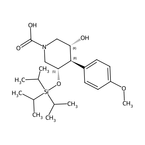 COc1ccc([C@@H]2[C@@H](O)CN(C(=O)O)C[C@H]2O[Si](C(C)C)(C(C)C)C(C)C)cc1